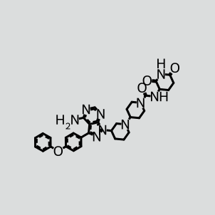 Nc1ncnc2c1c(-c1ccc(Oc3ccccc3)cc1)nn2C1CCCN(C2CCN(C(=O)NC3CCC(=O)NC3=O)CC2)C1